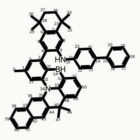 Cc1cc(-c2cc3c(cc2Nc2ccc(-c4ccccc4)cc2)C(C)(C)CCC3(C)C)c2c(c1)N1c3cc4ccccc4cc3C(C)(C)c3cccc(c31)B2